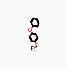 CCOc1ccc(Oc2ccccc2)cc1